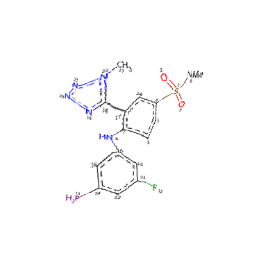 CNS(=O)(=O)c1ccc(Nc2cc(F)cc(P)c2)c(-c2nnnn2C)c1